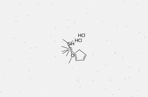 C[O][Ti]([CH3])([CH3])([CH3])([CH3])([CH3])([CH3])([C]1=CC=CC1)[SiH](C)C.Cl.Cl